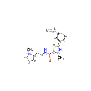 CCOC(=O)c1cccc(-c2nc(C)c(C(=O)NCCC3CCCN3C)s2)c1